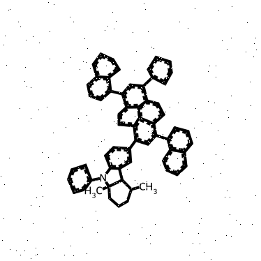 CC1CCCC2(C)C1c1cc(-c3cc(-c4cccc5ccccc45)c4ccc5c(-c6ccccc6)cc(-c6cccc7ccccc67)c6ccc3c4c56)ccc1N2c1ccccc1